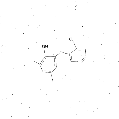 Cc1cc(C)c(O)c(Cc2ccccc2Cl)c1